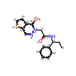 CCC(NC(=O)Cn1ncc2sccc2c1=O)c1ccccc1